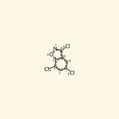 Clc1cc(Cl)c2onc(Cl)c2c1